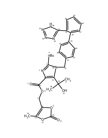 CCCCc1nc(C(=O)OCc2oc(=O)oc2C)c(C(C)(C)O)n1Cc1ccc(-c2ccccc2-c2nnn[nH]2)cc1